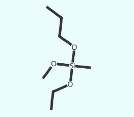 CCCO[Si](C)(OC)OCC